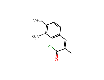 COc1ccc(C=C(C)C(=O)Cl)cc1[N+](=O)[O-]